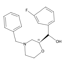 OC(c1cccc(F)c1)[C@@H]1CN(Cc2ccccc2)CCO1